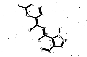 C=C/C(OC(C)C)=C(Cl)\C=C(/C)c1c(C=O)cnn1C